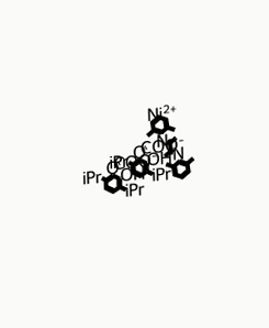 CC(=Nc1c(C)cccc1C)C(C)=Nc1c(C)cccc1C.CC(C)c1ccc(C(C)C)c(OC(=O)[O-])c1O.CC(C)c1ccc(C(C)C)c(OC(=O)[O-])c1O.[Ni+2]